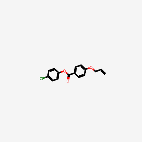 C=CCOc1ccc(C(=O)Oc2ccc(Cl)cc2)cc1